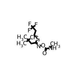 CNC(=O)ON=C(CC(C)(C)C)SCCC(F)(F)F